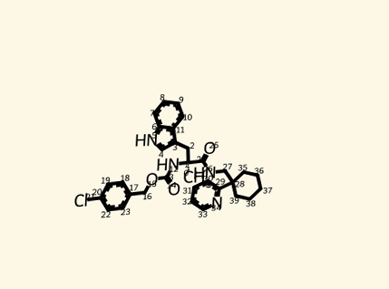 C[C@@](Cc1c[nH]c2ccccc12)(NC(=O)OCc1ccc(Cl)cc1)C(=O)NCC1(c2ccccn2)CCCCC1